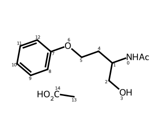 CC(=O)NC(CO)CCOc1ccccc1.CC(=O)O